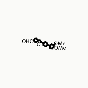 COc1ccc(-c2ccc(-c3cc4ccc(C=O)cc4o3)cc2)cc1OC